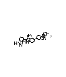 CC(C)c1c(-c2cccc3[nH]ncc23)[nH]c2ccc(-c3ccc4c(cnn4C)c3)cc12